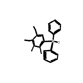 Cc1cc([Si](Cl)(c2ccccc2)c2ccccc2)c(C)c(C)c1C